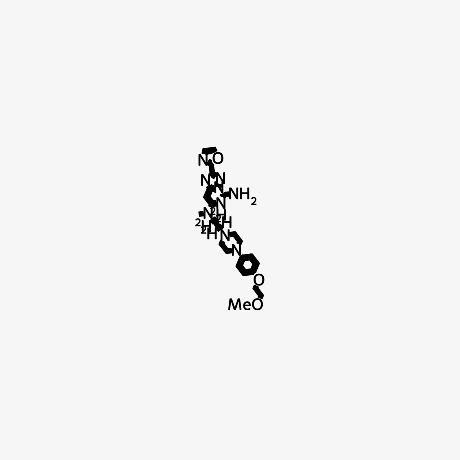 [2H]C([2H])(N1CCN(c2ccc(OCCOC)cc2)CC1)C([2H])([2H])N(C)c1cc2nc(-c3ncco3)nn2c(N)n1